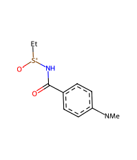 CC[S+]([O-])NC(=O)c1ccc(NC)cc1